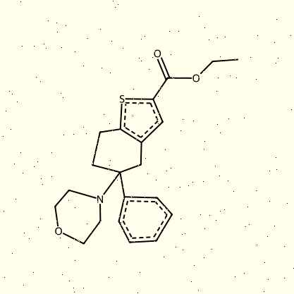 CCOC(=O)c1cc2c(s1)CCC(c1ccccc1)(N1CCOCC1)C2